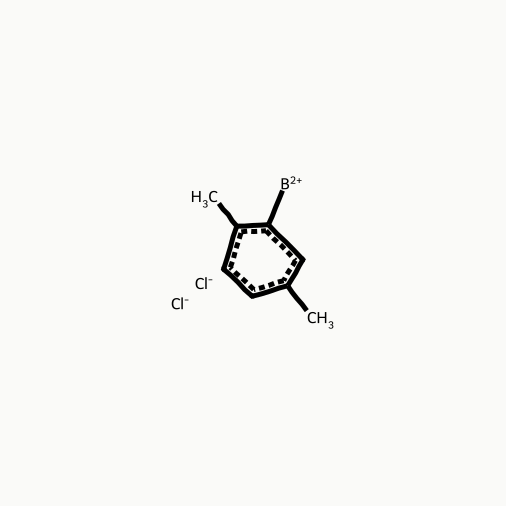 [B+2]c1cc(C)ccc1C.[Cl-].[Cl-]